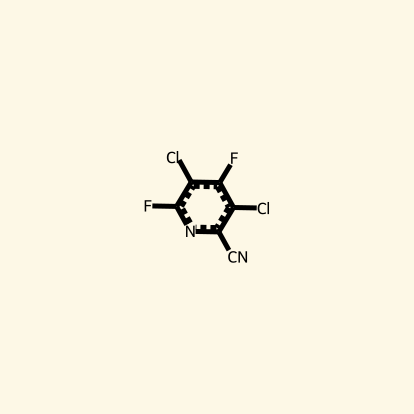 N#Cc1nc(F)c(Cl)c(F)c1Cl